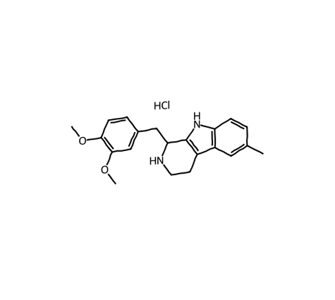 COc1ccc(CC2NCCc3c2[nH]c2ccc(C)cc32)cc1OC.Cl